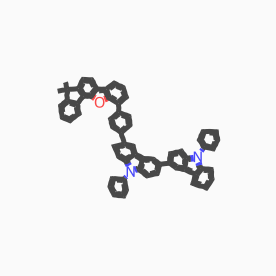 CC1(C)c2ccccc2-c2c1ccc1c2oc2c(-c3ccc(-c4ccc5c(c4)c4cc(-c6ccc7c(c6)c6ccccc6n7-c6ccccc6)ccc4n5-c4ccccc4)cc3)cccc21